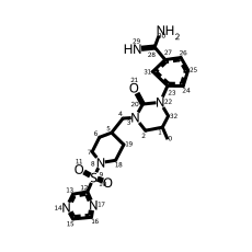 CC1CN(CC2CCN(S(=O)(=O)c3cnccn3)CC2)C(=O)N(c2cccc(C(=N)N)c2)C1